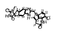 CN1C(=O)NC(=O)C12Cc1cc3nc(Cn4cc5c6c(c(Cl)ccc64)NC(=O)C5)[nH]c3cc1C2